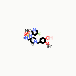 CC(C)Oc1cc(CN2CC[C@@]3(C[C@@H]2C)CN(C)S(=O)(=O)N3c2cc(F)cnc2C#N)ccc1O